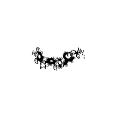 NC(=O)ON1CCC(CN2CCN(c3ccc(NC4CCC(=O)NC4=O)cc3Cl)CC2)CC1